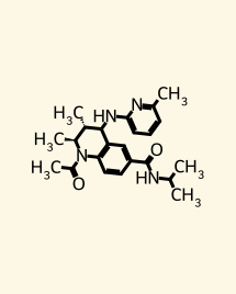 CC(=O)N1c2ccc(C(=O)NC(C)C)cc2C(Nc2cccc(C)n2)[C@@H](C)[C@@H]1C